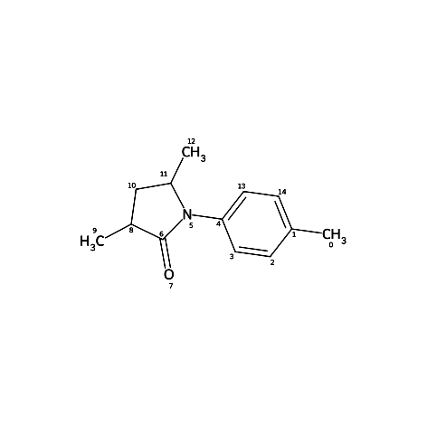 Cc1ccc(N2C(=O)C(C)CC2C)cc1